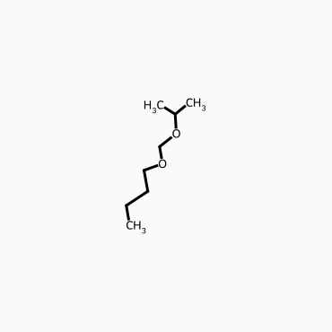 CCCCOCOC(C)C